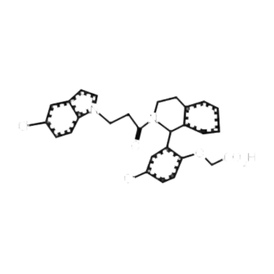 O=C(O)COc1ccc(Cl)cc1C1c2ccccc2CCN1C(=O)CCn1ccc2cc(Cl)ccc21